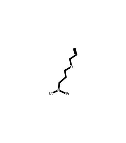 C=CCOCCCN(CC)C(C)C